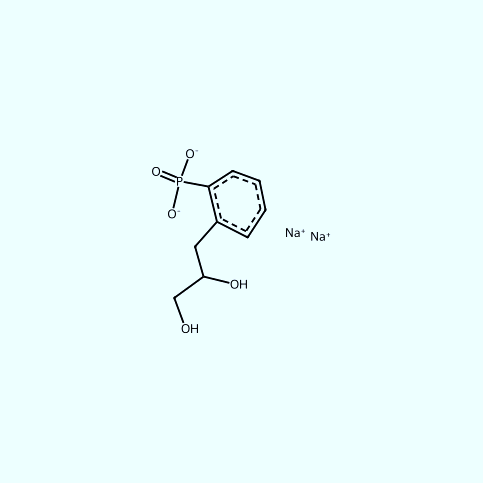 O=P([O-])([O-])c1ccccc1CC(O)CO.[Na+].[Na+]